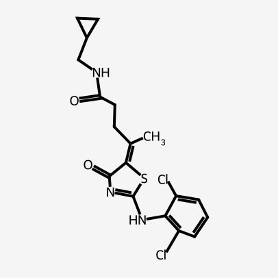 CC(CCC(=O)NCC1CC1)=C1SC(Nc2c(Cl)cccc2Cl)=NC1=O